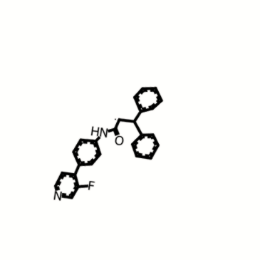 O=C([CH]C(c1ccccc1)c1ccccc1)Nc1ccc(-c2ccncc2F)cc1